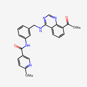 COC(=O)c1cccc2c(NCc3cccc(NC(=O)c4ccc(OC)nc4)c3)ncnc12